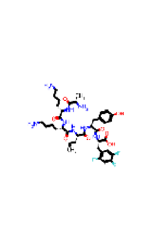 C=CC[C@H](NC(=O)[C@H](CCCCN)NC(=O)[C@H](CCCCN)NC(=O)[C@H](C)N)C(=O)N[C@@H](Cc1ccc(O)cc1)C(=O)N[C@@H](Cc1cc(F)c(F)cc1F)C(=O)O